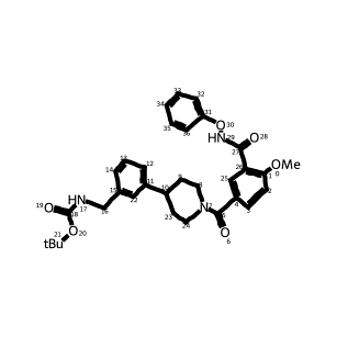 COc1ccc(C(=O)N2CCC(c3cccc(CNC(=O)OC(C)(C)C)c3)CC2)cc1C(=O)NOc1ccccc1